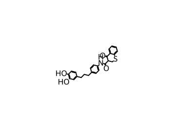 O=C(Nc1ccc(CCCc2ccc(O)c(O)c2)cc1)C1CSc2ccccc2C1=O